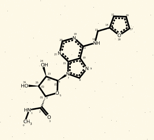 CNC(=O)[C@H]1O[C@H](n2cnc3c(NCc4ccco4)ncnc32)[C@H](O)[C@@H]1O